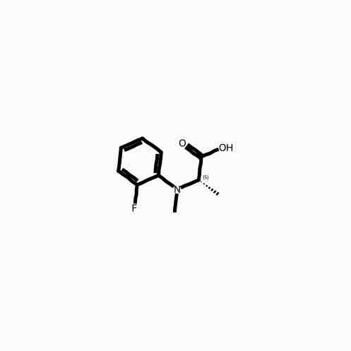 C[C@@H](C(=O)O)N(C)c1ccccc1F